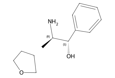 C1CCOC1.C[C@@H](N)[C@@H](O)c1ccccc1